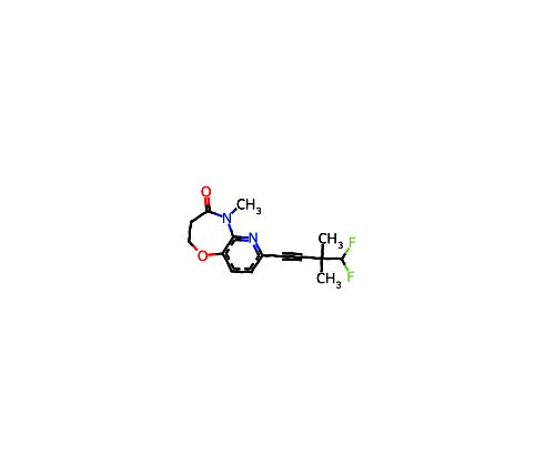 CN1C(=O)CCOc2ccc(C#CC(C)(C)C(F)F)nc21